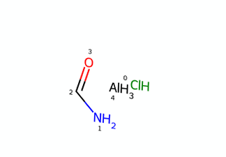 Cl.NC=O.[AlH3]